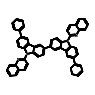 C1=CCCC(c2ccc3c(c2)c2cc(-c4ccc5c(c4)c4cc(-c6ccccc6)ccc4n5-c4ccc5ccccc5n4)ccc2n3-c2ccc3ccccc3n2)=C1